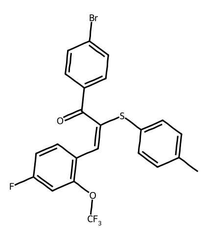 Cc1ccc(SC(=Cc2ccc(F)cc2OC(F)(F)F)C(=O)c2ccc(Br)cc2)cc1